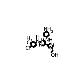 Cc1cc(Nc2ncc(-c3cnn(CCO)c3)c(NC3CCC(N)CC3)n2)ccc1Cl